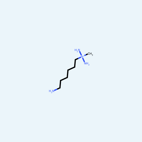 C[N+](N)(N)CCCCCCN